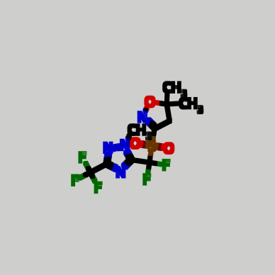 Cn1nc(C(F)(F)F)nc1C(F)(F)S(=O)(=O)C1=NOC(C)(C)C1